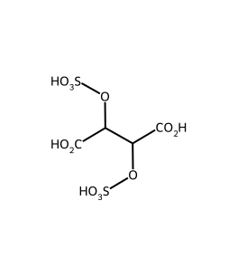 O=C(O)C(OS(=O)(=O)O)C(OS(=O)(=O)O)C(=O)O